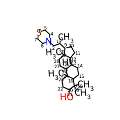 C[C@H](CN1CCSCC1)[C@H]1CCC2=C3CCC4C(C)(C)C(O)CC[C@]4(C)[C@H]3CC[C@@]21C